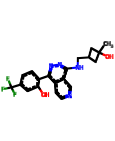 CC1(O)CC(CNc2nnc(-c3ccc(C(F)(F)F)cc3O)c3ccncc23)C1